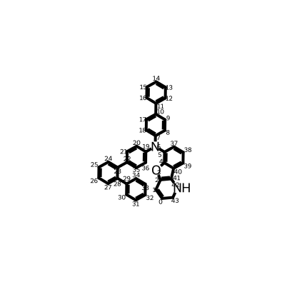 C1=Cc2oc3c(N(c4ccc(-c5ccccc5)cc4)c4ccc(-c5ccccc5-c5ccccc5)cc4)cccc3c2NC1